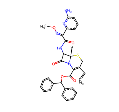 C=CC1=C(C(=O)OC(c2ccccc2)c2ccccc2)N2C(=O)C(NC(=O)C(=NOC)c3cccc(N)n3)[C@@H]2SC1